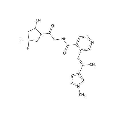 C/C(=C\c1cnccc1C(=O)NCC(=O)N1CC(F)(F)CC1C#N)c1ccn(C)c1